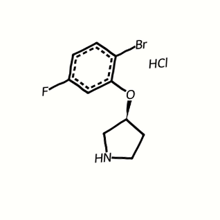 Cl.Fc1ccc(Br)c(O[C@H]2CCNC2)c1